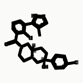 Cc1cn[nH]c1-c1cccc(C(=O)N2CCN3C[C@@](O)(c4ccc(Cl)cc4)CC[C@@H]3C2)c1Cl